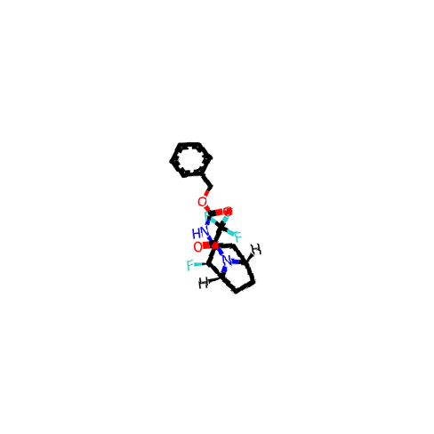 O=C(N[C@H]1C[C@@H]2CC[C@H]([C@H]1F)N2C(=O)C(F)(F)F)OCc1ccccc1